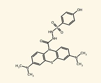 CN(C)c1ccc2c(c1)Sc1cc(N(C)C)ccc1N2C(=O)NNS(=O)(=O)c1ccc(O)cc1